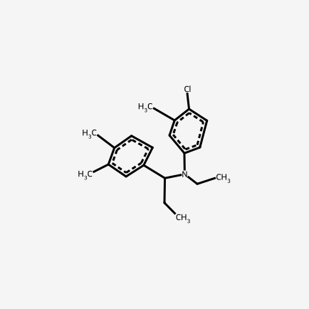 CCC(c1ccc(C)c(C)c1)N(CC)c1ccc(Cl)c(C)c1